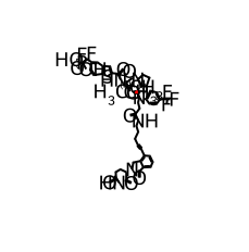 CC(C)(C)[C@H](NC(=O)c1cc2cc(C(F)(F)P(=O)(O)O)ccc2s1)C(=O)N1CCC[C@H]1C(=O)N(CCC(=O)NCCCC#Cc1cccc2c1CN(C1CCC(=O)NC1=O)C2=O)c1ccc(C(F)(F)F)cc1